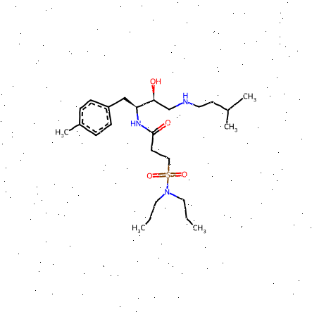 CCCN(CCC)S(=O)(=O)CCC(=O)N[C@@H](Cc1ccc(C)cc1)[C@@H](O)CNCCC(C)C